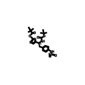 CC(C)(C)OC(=O)N[C@@H](Cc1ccc(N[SH](=O)=O)cc1)c1csc(OC(=O)C(C)(C)C)n1